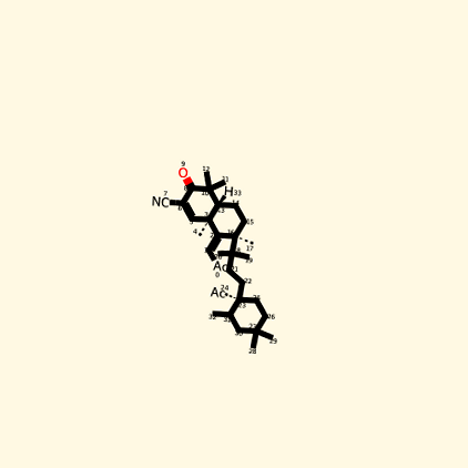 CC(=O)/C=C1/[C@@]2(C)C=C(C#N)C(=O)C(C)(C)[C@@H]2CC[C@@]1(C)C(C)(C)CC[C@@]1(C(C)=O)CCC(C)(C)CC1C